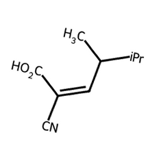 CC(C)C(C)C=C(C#N)C(=O)O